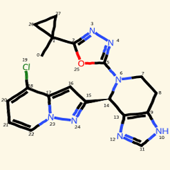 CC1(c2nnc(N3CCc4[nH]cnc4[C@H]3c3cc4c(Cl)cccn4n3)o2)CC1